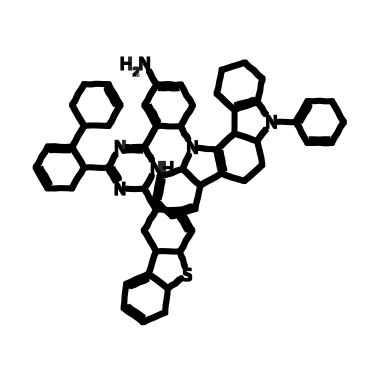 NC1=CCC(N2C3=C(CCC4C3C3=C(CCCC3)N4C3=CCCC=C3)C3C=CC=CC32)C(C2=NC(C3CC=CC=C3C3CC=CCC3)=NC(C3C=CC4SC5CC=CC=C5C4C3)N2)=C1